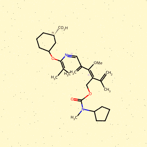 C=C(C)/C(COC(=O)N(C)C1CCCC1)=C(\OC)C(=C)/C=N\C(OC1CCC[C@H](C(=O)O)C1)=C(C)C